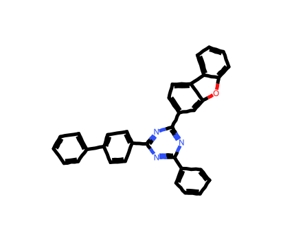 c1ccc(-c2ccc(-c3nc(-c4ccccc4)nc(-c4ccc5c(c4)oc4ccccc45)n3)cc2)cc1